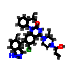 C=CC(=O)N1CCN(c2nc(=O)n(-c3ccccc3C(C)C)c3cc(-c4c(C)ccc5[nH]ncc45)c(Cl)cc23)[C@@H](C)C1